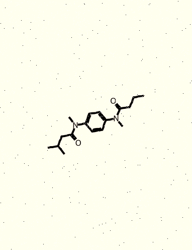 CCCC(=O)N(C)c1ccc(N(C)C(=O)CC(C)C)cc1